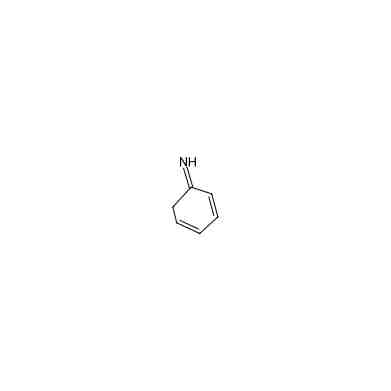 N=C1C=CC=CC1